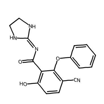 N#Cc1ccc(O)c(C(=O)N=C2NCCN2)c1Oc1ccccc1